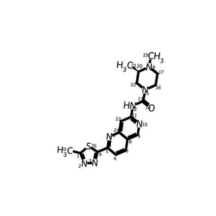 Cc1nnc(-c2ccc3cnc(NC(=O)N4CCN(C)[C@H](C)C4)cc3n2)s1